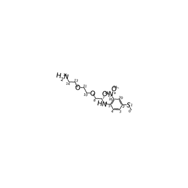 CSc1ccc(NCCOCCOCCN)c([N+](=O)[O-])c1